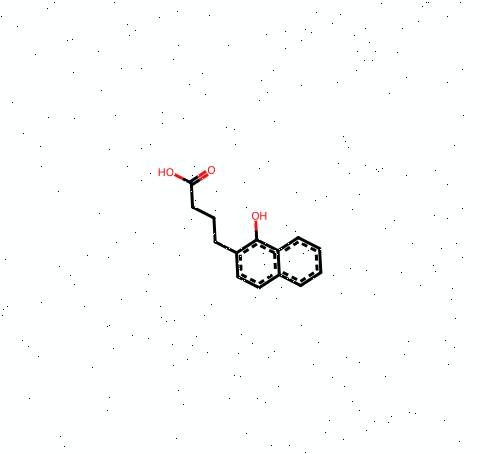 O=C(O)CCCc1ccc2ccccc2c1O